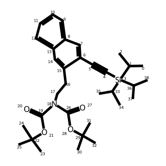 CC(C)[Si](C#Cc1cc2ccccc2cc1CCN(C(=O)OC(C)(C)C)C(=O)OC(C)(C)C)(C(C)C)C(C)C